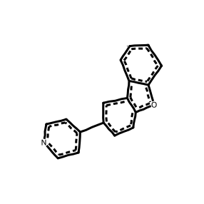 [c]1ccc2oc3ccc(-c4ccncc4)cc3c2c1